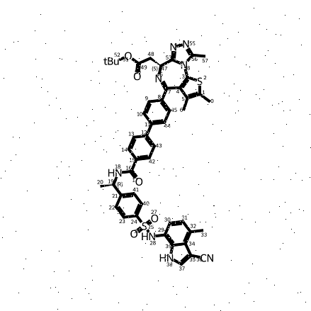 Cc1sc2c(c1C)C(c1ccc(-c3ccc(C(=O)N[C@H](C)c4ccc(S(=O)(=O)Nc5ccc(C)c6c(C#N)c[nH]c56)cc4)cc3)cc1)=N[C@@H](CC(=O)OC(C)(C)C)c1nnc(C)n1-2